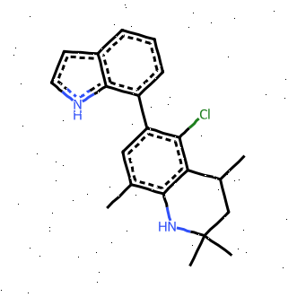 Cc1cc(-c2cccc3cc[nH]c23)c(Cl)c2c1NC(C)(C)CC2C